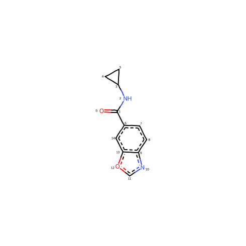 O=C(NC1CC1)c1ccc2ncoc2c1